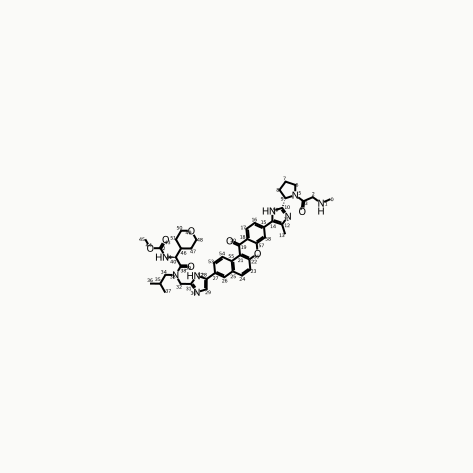 CNCC(=O)N1CCC[C@H]1c1nc(C)c(-c2ccc3c(=O)c4c(ccc5cc(-c6cnc(CN(CC(C)C)C(=O)[C@@H](NC(=O)OC)C7CCOCC7)[nH]6)ccc54)oc3c2)[nH]1